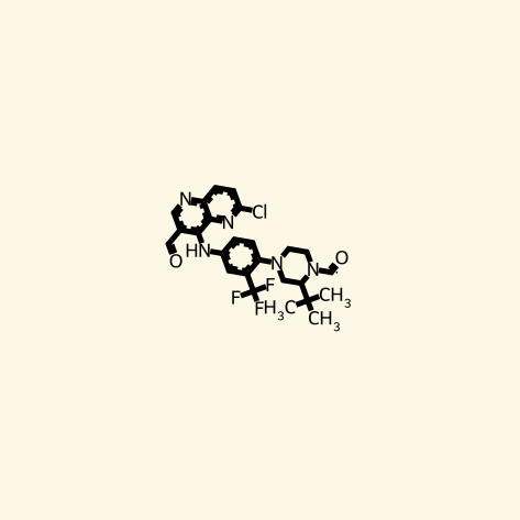 CC(C)(C)C1CN(c2ccc(Nc3c(C=O)cnc4ccc(Cl)nc34)cc2C(F)(F)F)CCN1[C]=O